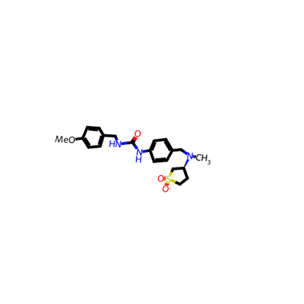 COc1ccc(CNC(=O)Nc2ccc(CN(C)[C@H]3CCS(=O)(=O)C3)cc2)cc1